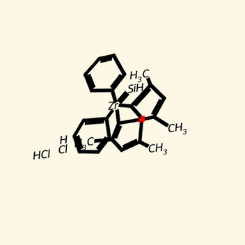 CC1=CC(C)=[C]([Zr](=[SiH2])([C]2=C(C)C=C(C)C2)([c]2ccccc2)[c]2ccccc2)C1.Cl.Cl